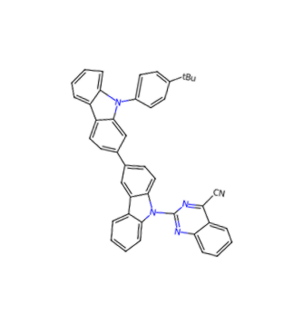 CC(C)(C)c1ccc(-n2c3ccccc3c3ccc(-c4ccc5c(c4)c4ccccc4n5-c4nc(C#N)c5ccccc5n4)cc32)cc1